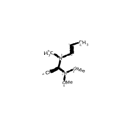 CC=CN(C)C(=O)N(OC)OC